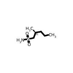 CCC[C@H](C)CS(N)(=O)=O